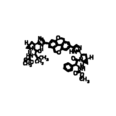 COC(=O)N[C@H](C(=O)N1[C@@H]2C[C@@H]2C[C@H]1c1ncc(-c2cc3c4c(c2)OCc2cc(-c5cnc([C@@H]6C[C@H]7C[C@H]7N6C(=O)[C@H](NC(=O)OC)c6ccccc6)[nH]5)cc(c2-4)OC3)[nH]1)C(C)C